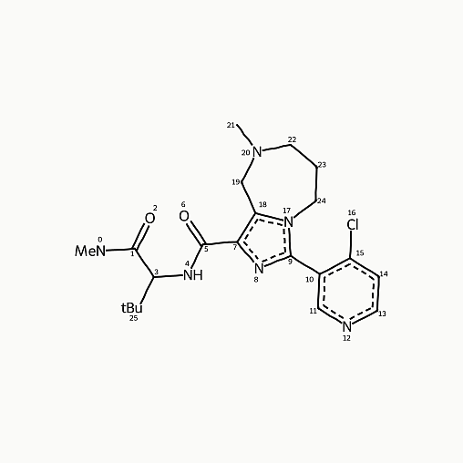 CNC(=O)C(NC(=O)c1nc(-c2cnccc2Cl)n2c1CN(C)CCC2)C(C)(C)C